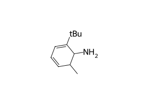 CC1C=CC=C(C(C)(C)C)C1N